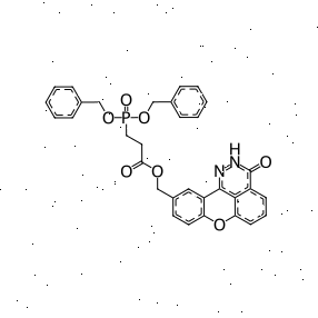 O=C(CCP(=O)(OCc1ccccc1)OCc1ccccc1)OCc1ccc2c(c1)-c1n[nH]c(=O)c3cccc(c13)O2